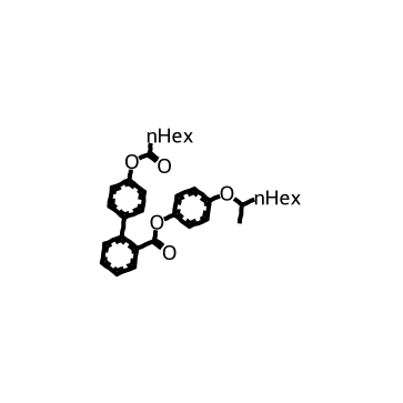 CCCCCCC(=O)Oc1ccc(-c2ccccc2C(=O)Oc2ccc(OC(C)CCCCCC)cc2)cc1